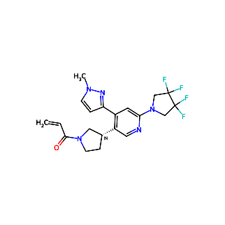 C=CC(=O)N1CC[C@@H](c2cnc(N3CC(F)(F)C(F)(F)C3)cc2-c2ccn(C)n2)C1